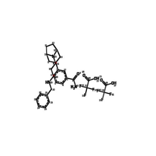 NC(=O)c1cccc(C2CC3CCC(C2)N3CCCNCc2ccccc2)c1.O=C(O)C(F)(F)F.O=C(O)C(F)(F)F